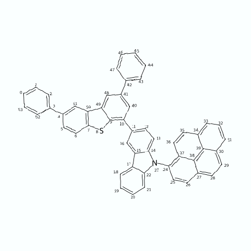 c1ccc(-c2ccc3sc4c(-c5ccc6c(c5)c5ccccc5n6-c5ccc6ccc7cccc8ccc5c6c78)cc(-c5ccccc5)cc4c3c2)cc1